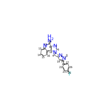 Cn1nc(Cn2cnc3c(N)nc4ccccc4c32)cc1-c1ccc(F)cc1